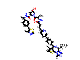 Cc1ncsc1-c1ccc(C(C)NC(=O)[C@@H]2C[C@@H](O)CN2C(=O)C(NC(=O)CCc2ccc(-c3ccc(C4=N[C@@H](CC(=O)O)c5nnc(C)n5-c5sc(C)c(C)c54)cc3)cn2)C(C)(C)C)cc1